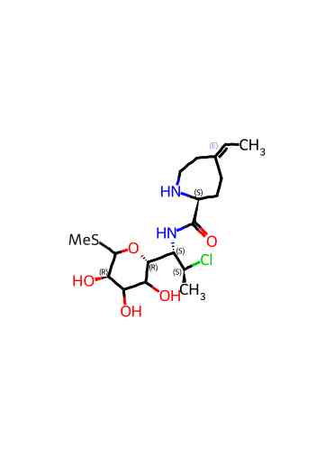 C/C=C1/CCN[C@H](C(=O)N[C@H]([C@H](C)Cl)[C@H]2OC(SC)[C@H](O)C(O)C2O)CC1